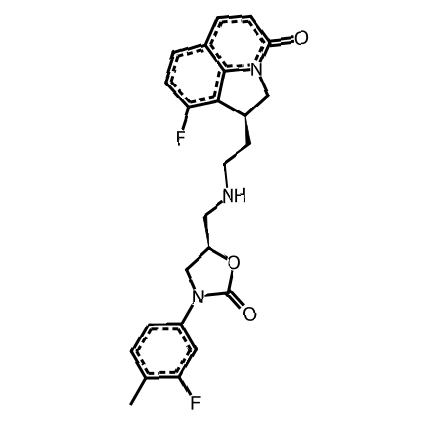 Cc1ccc(N2C[C@@H](CNCC[C@@H]3Cn4c(=O)ccc5ccc(F)c3c54)OC2=O)cc1F